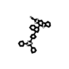 N#Cc1nc2cc3c(oc4ccccc43)c(-c3ccc(-c4ccc(-c5nc(-c6ccccc6)nc(-c6ccccc6)n5)cc4)c4ccccc34)c2o1